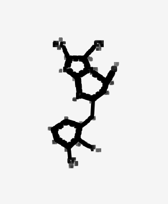 Cc1sc2nc(Cc3cccc(C(F)(F)F)c3F)cc(=O)n2c1C#N